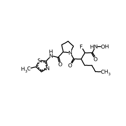 CCCCC(C(=O)N1CCCC1C(=O)Nc1ncc(C)s1)C(F)C(=O)NO